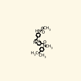 COC(=O)Nc1ccc(-c2cnc3ccc(C(=O)N(C)c4ccc(C(C)C)cc4)cn23)cc1